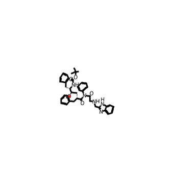 CC(C)(C)OC(=O)N[C@@H](Cc1ccccc1)[C@@H](O)C[C@@H](Cc1ccccc1)C(=O)N(C(=O)CNCc1nc2ccccc2[nH]1)c1ccccc1